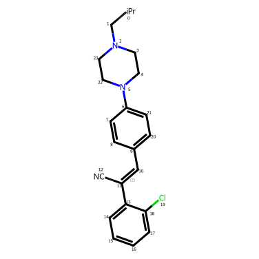 CC(C)CN1CCN(c2ccc(/C=C(\C#N)c3ccccc3Cl)cc2)CC1